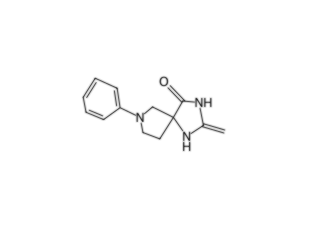 C=C1NC(=O)C2(CCN(c3ccccc3)C2)N1